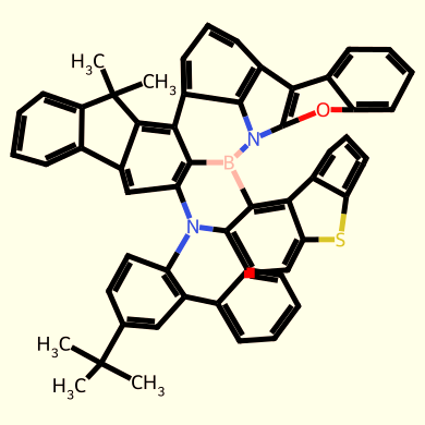 CC(C)(C)c1ccc(N2c3cc4c(c5c3B(c3c2ccc2sc6ccccc6c32)n2c3oc6ccccc6c3c3cccc-5c32)C(C)(C)c2ccccc2-4)c(-c2ccccc2)c1